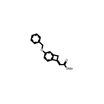 COC(=O)/C=C1\Cc2cc(OCc3ccccc3)ccc21